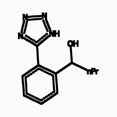 CCCC(O)c1ccccc1-c1nnn[nH]1